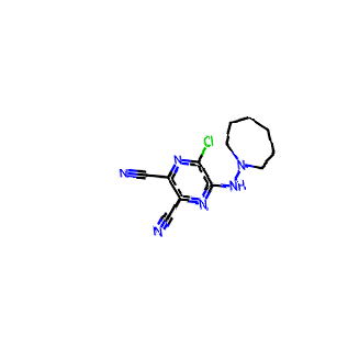 N#Cc1nc(Cl)c(NN2CCCCCC2)nc1C#N